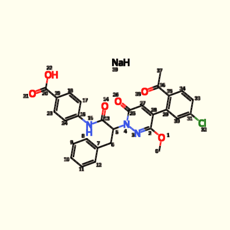 COc1nn(C(Cc2ccccc2)C(=O)Nc2ccc(C(=O)O)cc2)c(=O)cc1-c1cc(Cl)ccc1C(C)=O.[NaH]